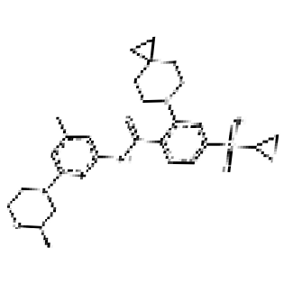 Cc1cc(NC(=O)c2ccc([S@](=N)(=O)C3CC3)cc2N2CCC3(CC2)CC3)nc(N2CCO[C@H](C)C2)c1